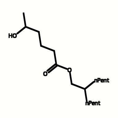 CCCCCC(CCCCC)COC(=O)CCCC(C)O